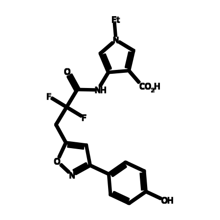 CCn1cc(NC(=O)C(F)(F)Cc2cc(-c3ccc(O)cc3)no2)c(C(=O)O)c1